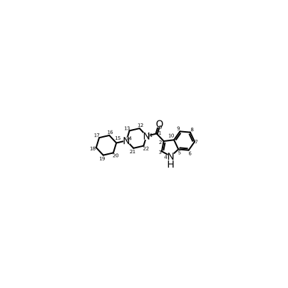 O=C(c1c[nH]c2ccccc12)N1CCN(C2CCCCC2)CC1